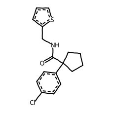 O=C(NCc1cccs1)C1(c2ccc(Cl)cc2)CCCC1